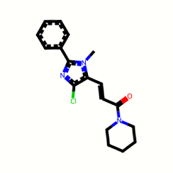 Cn1c(-c2ccccc2)nc(Cl)c1C=CC(=O)N1CCCCC1